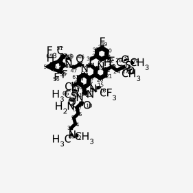 CN(C)CCCC[C@H](N)C(=O)N(c1nn(CC(F)(F)F)c2c(-c3ccc(CCC(C)(C)S(C)(=O)=O)nc3[C@H](Cc3cc(F)cc(F)c3)NC(=O)Cn3nc(C(F)(F)F)c4c3C(F)(F)C3C[C@H]43)ccc(Cl)c12)S(C)(=O)=O